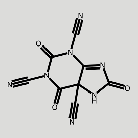 N#CN1C(=O)N(C#N)C2=NC(=O)NC2(C#N)C1=O